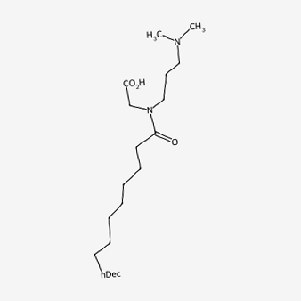 CCCCCCCCCCCCCCCCCC(=O)N(CCCN(C)C)CC(=O)O